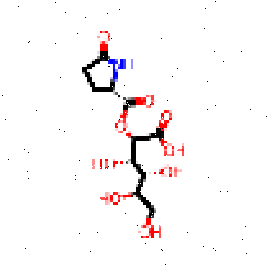 O=C1CC[C@@H](C(=O)O[C@@H](C(=O)O)[C@@H](O)[C@H](O)[C@H](O)CO)N1